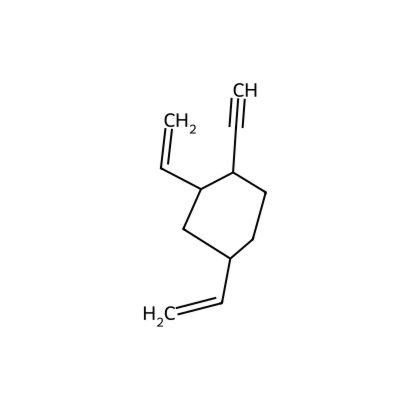 C#CC1CCC(C=C)CC1C=C